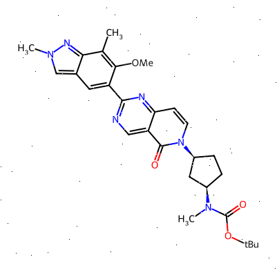 COc1c(-c2ncc3c(=O)n([C@H]4CC[C@@H](N(C)C(=O)OC(C)(C)C)C4)ccc3n2)cc2cn(C)nc2c1C